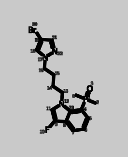 CP(C)(=O)c1cccc2c(F)cn(CCCCn3cc(Br)cn3)c12